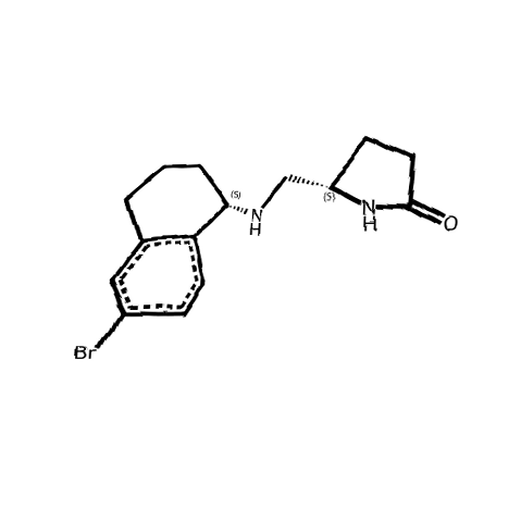 O=C1CC[C@@H](CN[C@H]2CCCc3cc(Br)ccc32)N1